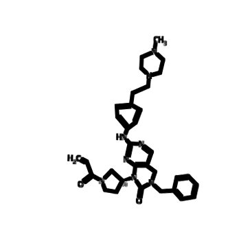 C=CC(=O)N1CC[C@H](N2C(=O)N(Cc3ccccc3)Cc3cnc(Nc4ccc(CCN5CCN(C)CC5)cc4)nc32)C1